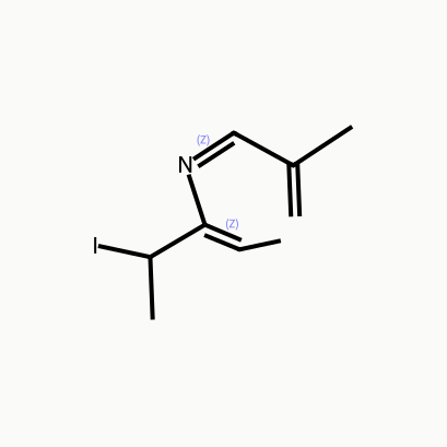 C=C(C)/C=N\C(=C/C)C(C)I